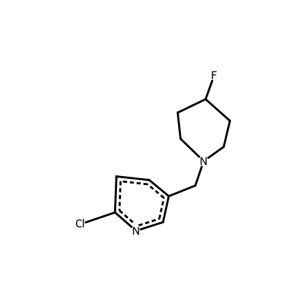 FC1CCN(Cc2ccc(Cl)nc2)CC1